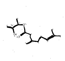 CC(C)=CCCC(C)CC(=O)OC(C)C(C)O